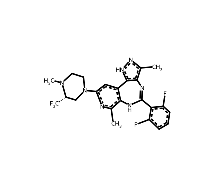 Cc1n[nH]c2c1N=C(c1c(F)cccc1F)Nc1c-2cc(N2CCN(C)[C@@H](C(F)(F)F)C2)nc1C